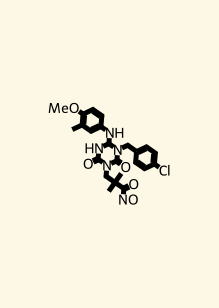 COc1ccc(NC2NC(=O)N(CC(C)(C)C(=O)N=O)C(=O)N2Cc2ccc(Cl)cc2)cc1C